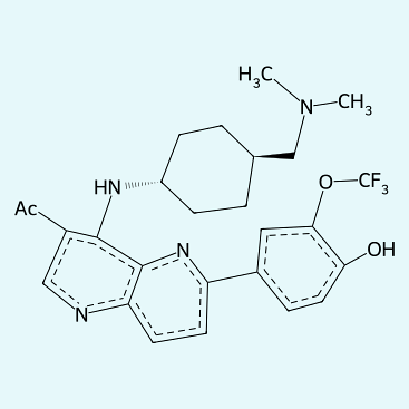 CC(=O)c1cnc2ccc(-c3ccc(O)c(OC(F)(F)F)c3)nc2c1N[C@H]1CC[C@H](CN(C)C)CC1